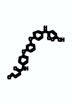 O=C/C=C\C(=O)Nc1ccc(Oc2cccc(Oc3ccc(NC(=O)/C=C\C(=O)O)cc3)c2)cc1